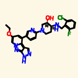 CCOc1cc(-c2ccc(N3CC[C@H](NCc4c(F)cccc4Cl)[C@@H](O)C3)nc2)c2c3cn[nH]c3nn2c1